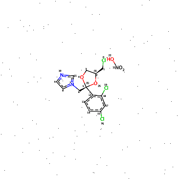 ClC[C@@H]1CO[C@@](Cn2ccnc2)(c2ccc(Cl)cc2Cl)O1.O=[N+]([O-])O